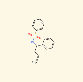 C=CCC(NS(=O)(=O)c1ccccc1)c1ccccc1